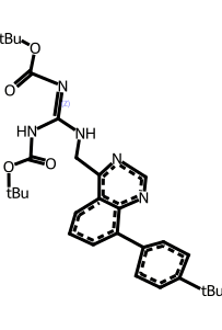 CC(C)(C)OC(=O)/N=C(/NCc1ncnc2c(-c3ccc(C(C)(C)C)cc3)cccc12)NC(=O)OC(C)(C)C